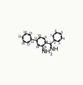 N=C(c1ccccc1)c1ccc(-c2ccccc2)cc1N